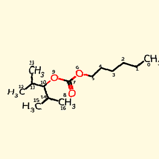 CCCCCCOC(=O)OC(C(C)C)C(C)C